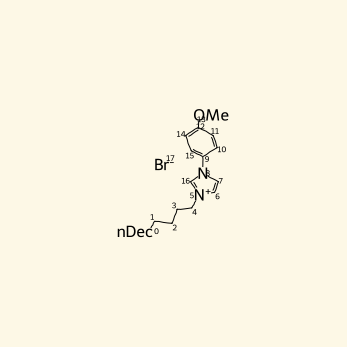 CCCCCCCCCCCCCC[n+]1ccn(-c2ccc(OC)cc2)c1.[Br-]